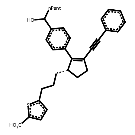 CCCCCC(O)c1ccc(C2=C(C#Cc3ccccc3)CC[C@@H]2CCCc2ccc(C(=O)O)s2)cc1